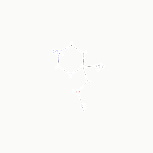 CCCC1(COCC)CCNCC1